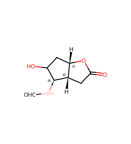 O=CB[C@H]1C(O)C[C@@H]2OC(=O)C[C@@H]21